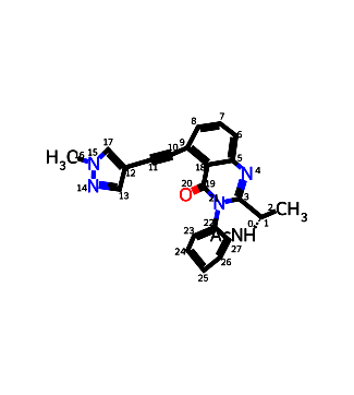 CC(=O)N[C@@H](C)c1nc2cccc(C#Cc3cnn(C)c3)c2c(=O)n1-c1ccccc1